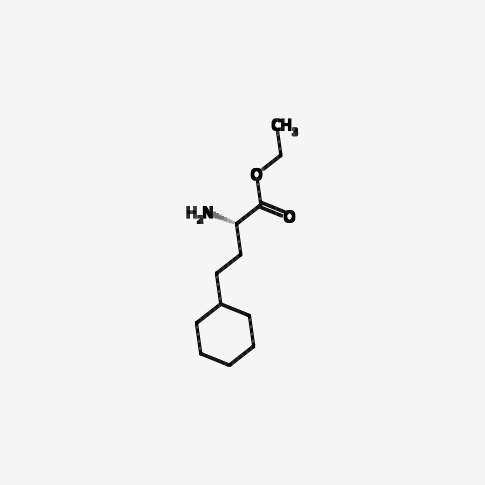 CCOC(=O)[C@@H](N)CCC1CCCCC1